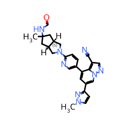 Cn1ccc(-c2cc(-c3ccc(N4C[C@@H]5CC(C)(NC=O)C[C@@H]5C4)nc3)c3c(C#N)cnn3c2)n1